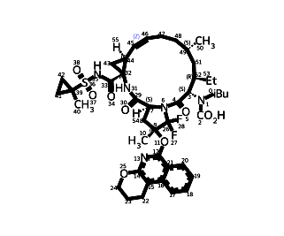 CCC(C)N(C(=O)O)[C@@H]1C(=O)N2[C@@H](C[C@@](C)(Oc3nc4c(c5ccccc35)CCCO4)C2(F)F)C(=O)N[C@]2(C(=O)NS(=O)(=O)C3(C)CC3)C[C@H]2/C=C\CC[C@H](C)C[C@H]1CC